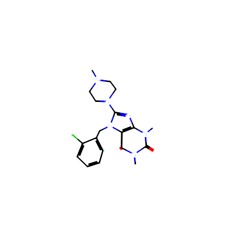 CN1CCN(c2nc3c(c(=O)n(C)c(=O)n3C)n2Cc2c(F)cccc2Cl)CC1